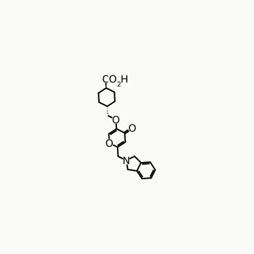 O=c1cc(CN2Cc3ccccc3C2)occ1OC[C@H]1CC[C@H](C(=O)O)CC1